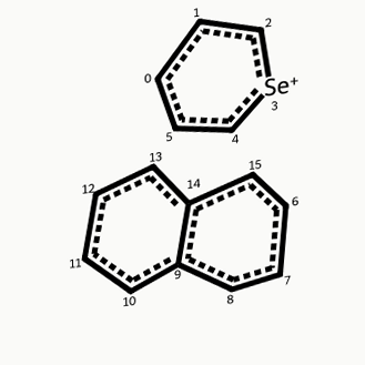 c1cc[se+]cc1.c1ccc2ccccc2c1